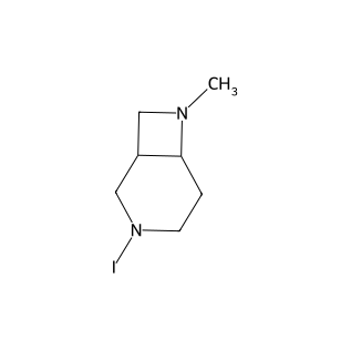 CN1CC2CN(I)CCC21